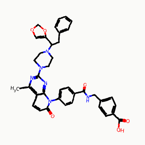 Cc1nc(N2CCN(C(Cc3ccccc3)C3=COCO3)CC2)nc2c1ccc(=O)n2-c1ccc(C(=O)NCc2ccc(C(=O)O)cc2)cc1